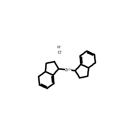 C1=CCC2CC[CH]([Zr+2][CH]3CCC4CC=CC=C43)C2=C1.[Cl-].[H-]